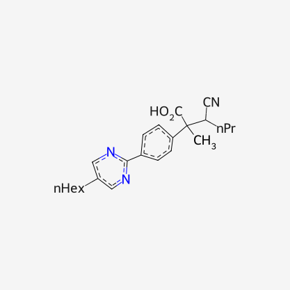 CCCCCCc1cnc(-c2ccc(C(C)(C(=O)O)C(C#N)CCC)cc2)nc1